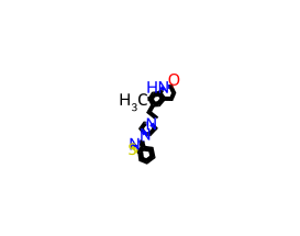 Cc1cc2c(cc1CCN1CCN(c3nsc4ccccc34)CC1)CCC(=O)N2